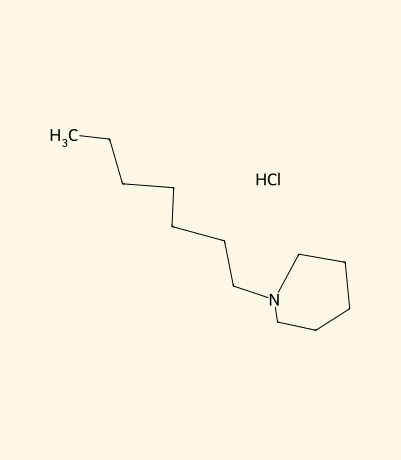 CCCCCCCN1CCCCC1.Cl